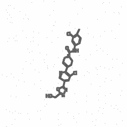 Cc1ccc(NC(=O)N2CC=C(c3ncc(-c4nnc(CO)o4)cc3Cl)CC2)cc1Cl